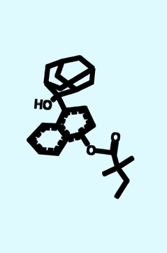 CCC(C)(C)C(=O)Oc1ccc(C2(O)C3CC4CC(C3)CC2C4)c2ccccc12